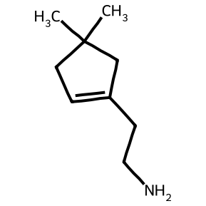 CC1(C)CC=C(CCN)C1